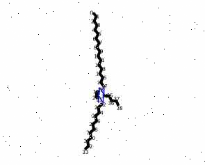 CCCCCCCCCCCCCCCCCCN1C=CN(CCCCCCCCCCCC)C1CCCC